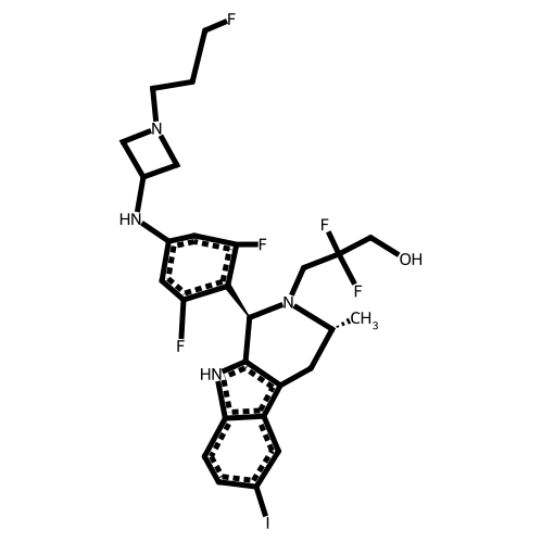 C[C@@H]1Cc2c([nH]c3ccc(I)cc23)[C@@H](c2c(F)cc(NC3CN(CCCF)C3)cc2F)N1CC(F)(F)CO